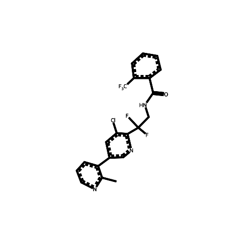 Cc1ncccc1-c1cnc(C(F)(F)CNC(=O)c2ccccc2C(F)(F)F)c(Cl)c1